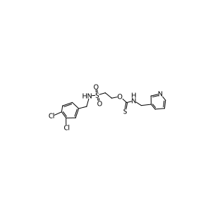 O=S(=O)(CCOC(=S)NCc1cccnc1)NCc1ccc(Cl)c(Cl)c1